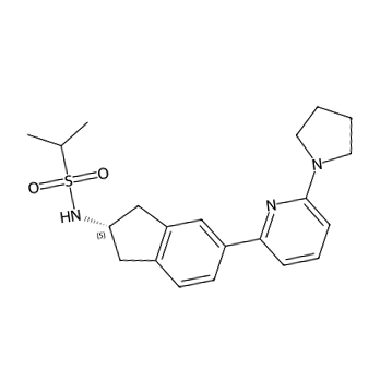 CC(C)S(=O)(=O)N[C@H]1Cc2ccc(-c3cccc(N4CCCC4)n3)cc2C1